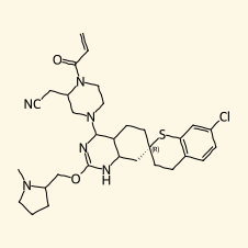 C=CC(=O)N1CCN(C2N=C(OCC3CCCN3C)NC3C[C@]4(CCc5ccc(Cl)cc5S4)CCC32)CC1CC#N